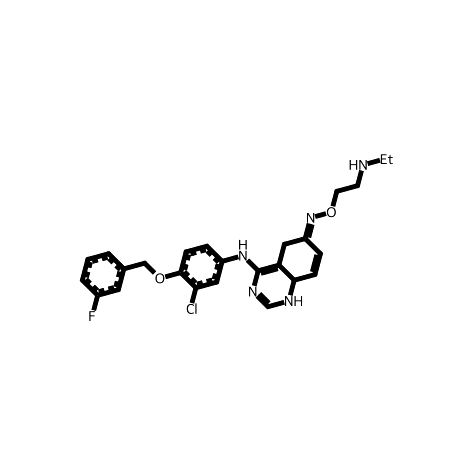 CCNCCON=C1C=CC2NC=NC(Nc3ccc(OCc4cccc(F)c4)c(Cl)c3)=C2C1